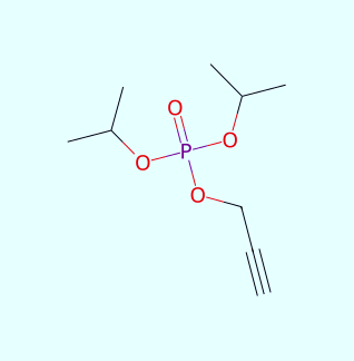 C#CCOP(=O)(OC(C)C)OC(C)C